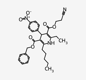 CCCCCC1=C(C(=O)OCc2ccccc2)C(c2ccc([N+](=O)[O-])cc2)C(C(=O)OCCC#N)=C(CC)N1